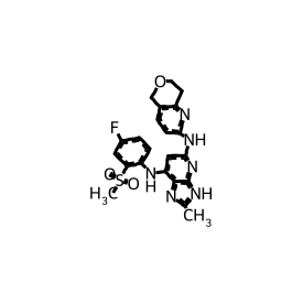 Cc1nc2c(Nc3ccc(F)cc3S(C)(=O)=O)cc(Nc3ccc4c(n3)CCOC4)nc2[nH]1